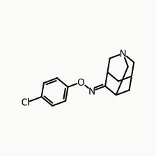 Clc1ccc(ON=C2C3CC4CC2CN(C4)C3)cc1